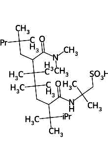 CC(C)C(C)(C)CC(C(=O)N(C)C)C(C)(C)C(C)(C)CC(C(=O)NC(C)(C)CS(=O)(=O)O)C(C)(C)C(C)C